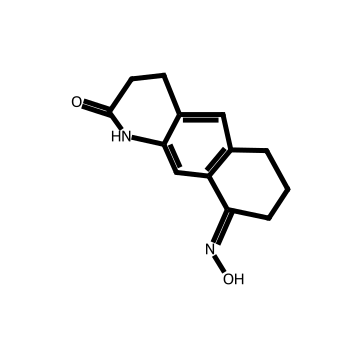 O=C1CCc2cc3c(cc2N1)C(=NO)CCC3